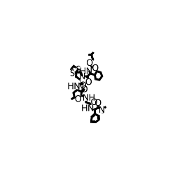 CCCC(NC(=O)[C@@H]1CC2(CN1C(=O)C(NC(=O)OCC(C)C)C1CCCCC1)SCCS2)C(=O)C(=O)NCC(=O)NC(C(=O)N(C)C)c1ccccc1